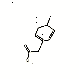 NC(=O)CC1=CCC(F)C=C1